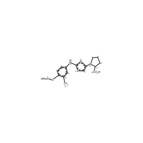 CCCCCOc1ccc(Nc2nc(N3CCCC3C(=O)O)cs2)cc1C(F)(F)F